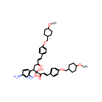 CCCOC1CCC(COc2ccc(C=CC(=O)CC(c3ccc(N)cc3N)C(O)(O)C(=O)C=Cc3ccc(OCC4CCC(OCCC)CC4)cc3)cc2)CC1